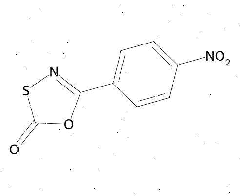 O=c1oc(-c2ccc([N+](=O)[O-])cc2)ns1